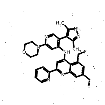 Cc1n[nH]c(C)c1-c1cnc(N2CCOCC2)cc1Nc1cc(-c2ccccn2)nc2cc(CF)cc(CF)c12